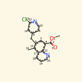 COC(=O)c1cc(Cc2ccnc(Cl)c2)c(C)c2cccnc12